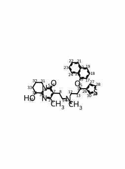 Cc1nc2n(c(=O)c1CCN(C)CCC(Oc1cccc3ccccc13)c1ccsc1)CCCC2O